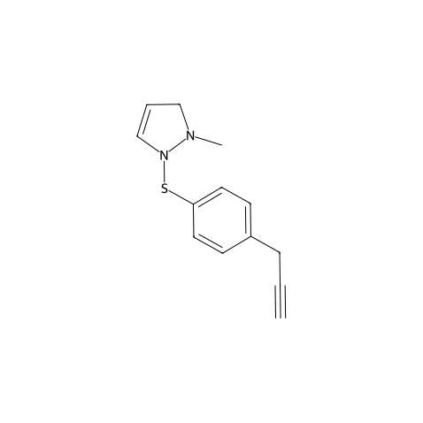 C#CCc1ccc(SN2C=CCN2C)cc1